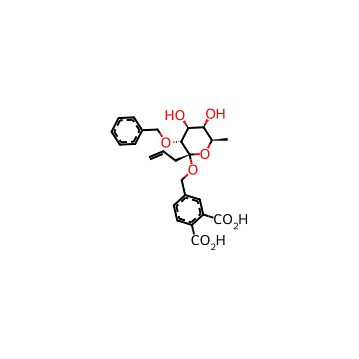 C=CC[C@]1(OCc2ccc(C(=O)O)c(C(=O)O)c2)O[C@H](C)[C@H](O)[C@H](O)[C@H]1OCc1ccccc1